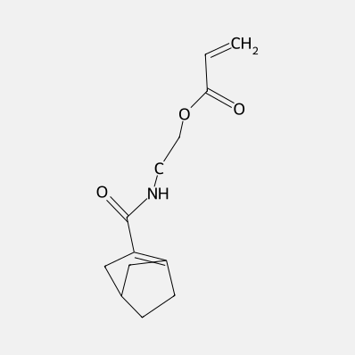 C=CC(=O)OCCNC(=O)C1=C2CCC(C2)C1